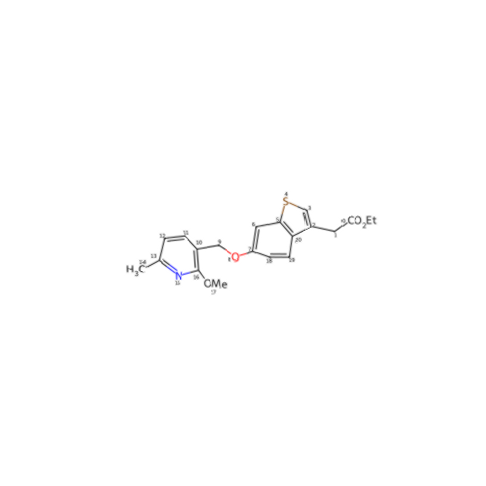 CCOC(=O)Cc1csc2cc(OCc3ccc(C)nc3OC)ccc12